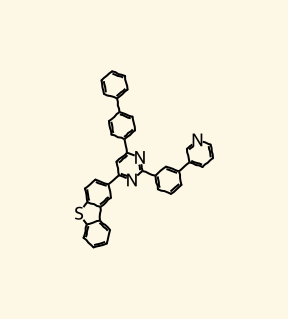 c1ccc(-c2ccc(-c3cc(-c4ccc5sc6ccccc6c5c4)nc(-c4cccc(-c5cccnc5)c4)n3)cc2)cc1